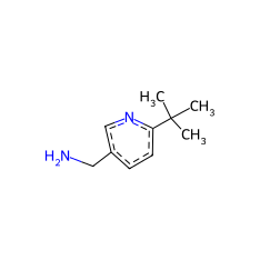 CC(C)(C)c1ccc(CN)cn1